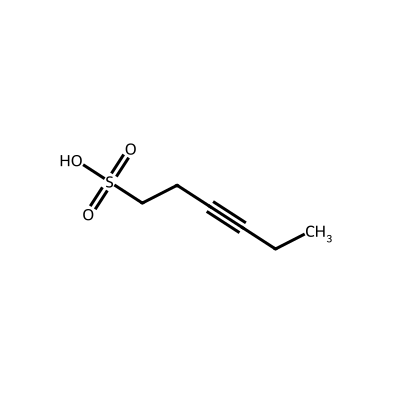 CCC#CCCS(=O)(=O)O